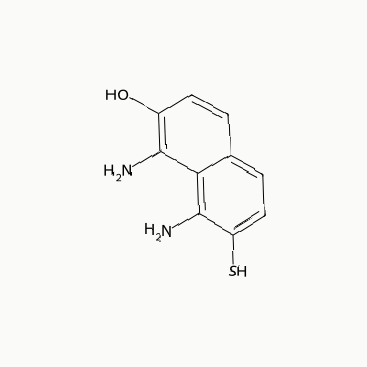 Nc1c(O)ccc2ccc(S)c(N)c12